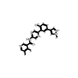 Cc1cncc(C(=O)Nc2cnc(-c3cc(-c4cnn(C)c4)ccc3Cl)cn2)c1C